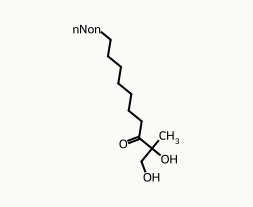 CCCCCCCCCCCCCCCCC(=O)C(C)(O)CO